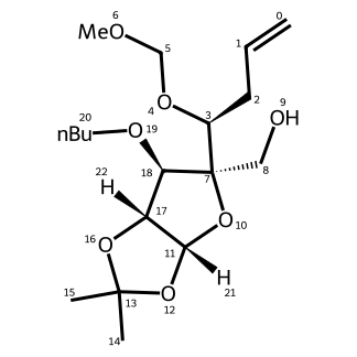 C=CC[C@H](OCOC)[C@@]1(CO)O[C@@H]2OC(C)(C)O[C@@H]2[C@H]1OCCCC